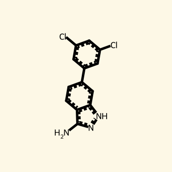 Nc1n[nH]c2cc(-c3cc(Cl)cc(Cl)c3)ccc12